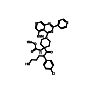 COc1cncc2nc(-c3ccncc3)nc(N3CCC(NC(=O)OC(C)(C)C)(C(=O)N(CCCO)c4ccc(Cl)cc4)CC3)c12